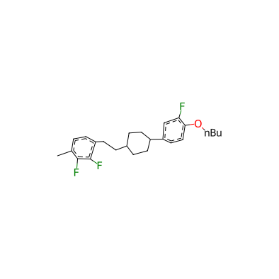 CCCCOc1ccc(C2CCC(CCc3ccc(C)c(F)c3F)CC2)cc1F